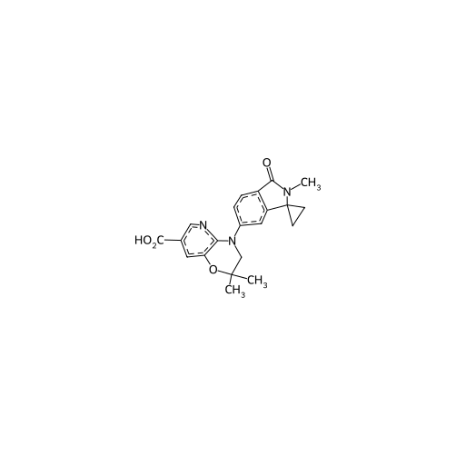 CN1C(=O)c2ccc(N3CC(C)(C)Oc4cc(C(=O)O)cnc43)cc2C12CC2